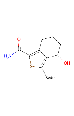 CSc1sc(C(N)=O)c2c1C(O)CCC2